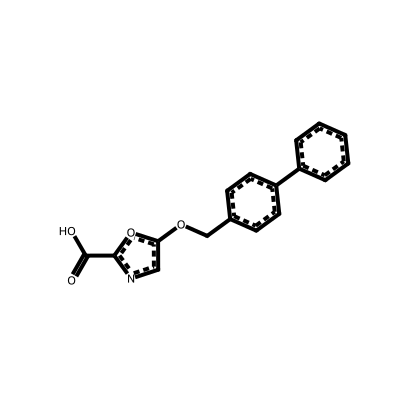 O=C(O)c1ncc(OCc2ccc(-c3ccccc3)cc2)o1